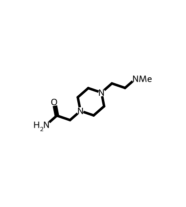 CNCCN1CCN(CC(N)=O)CC1